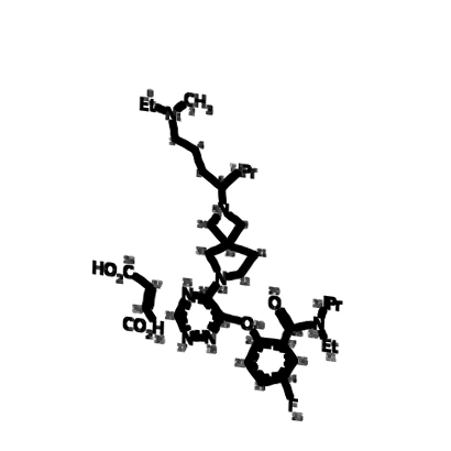 CCN(C)CCCC(C(C)C)N1CC2(CCN(c3ncnnc3Oc3ccc(F)cc3C(=O)N(CC)C(C)C)C2)C1.O=C(O)/C=C/C(=O)O